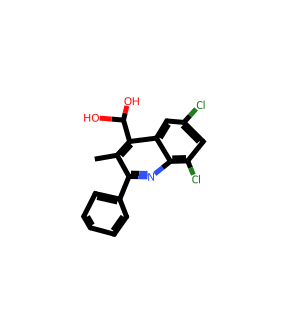 Cc1c(-c2ccccc2)nc2c(Cl)cc(Cl)cc2c1C(O)O